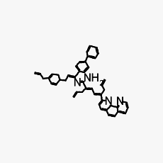 C=CCC1=CCC(C\C=C(/N=C(N)/C(=C/C=C(\CC=C)c2ccc3ccc4cccnc4c3n2)CC=C)c2ccc(-c3ccccc3)cc2)C=C1